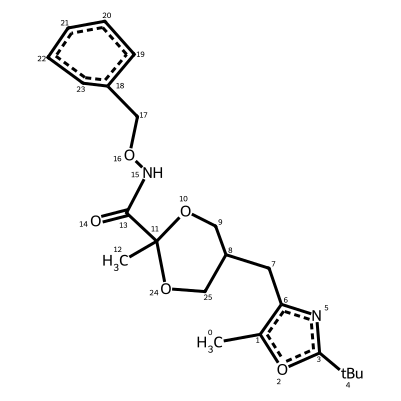 Cc1oc(C(C)(C)C)nc1CC1COC(C)(C(=O)NOCc2ccccc2)OC1